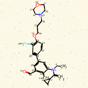 C=C(C1CC1)N(CC)c1cc(-c2ccc(OCCCN3CCOCC3)c(F)c2)cc(C=O)c1C